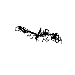 CC(C)(C)ON(C=O)CCCNC(=O)OC[n+]1ccc(N(CCCCCCOc2ccc(Cl)cc2)C(N)=NC#N)cc1.[I-]